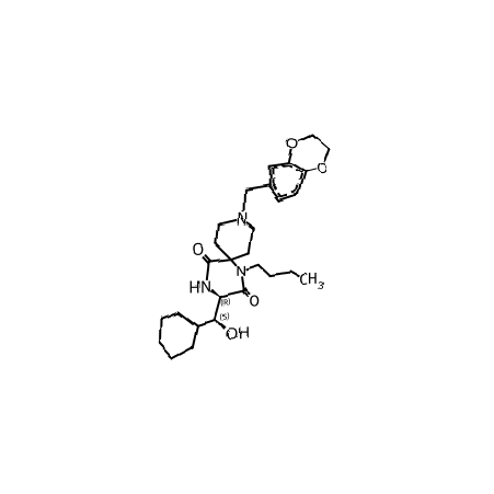 CCCCN1C(=O)[C@@H]([C@@H](O)C2CCCCC2)NC(=O)C12CCN(Cc1ccc3c(c1)OCCO3)CC2